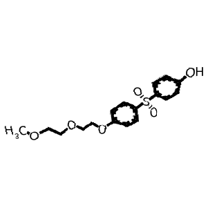 COCCOCCOc1ccc(S(=O)(=O)c2ccc(O)cc2)cc1